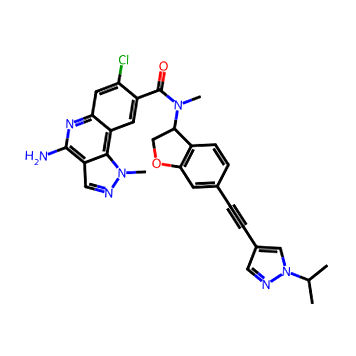 CC(C)n1cc(C#Cc2ccc3c(c2)OCC3N(C)C(=O)c2cc3c(cc2Cl)nc(N)c2cnn(C)c23)cn1